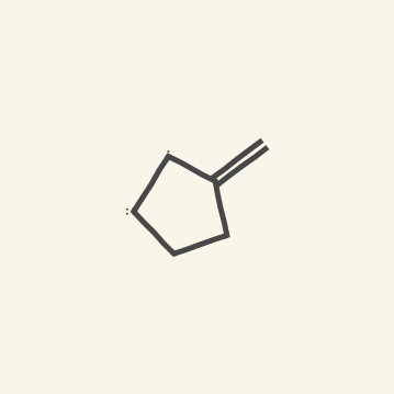 C=C1[CH][C]CC1